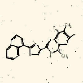 Cc1c(F)cc([C@@H](C)NC(=O)c2coc(-c3cccc4ccccc34)n2)cc1F